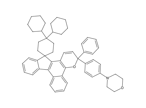 C1=CC(c2ccccc2)(c2ccc(N3CCOCC3)cc2)Oc2c1c1c(c3ccccc23)-c2ccccc2C12CCC(C1CCCCC1)(C1CCCCC1)CC2